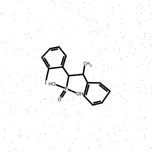 CC(c1ccccc1)C(c1ccccc1I)P(=O)(O)O